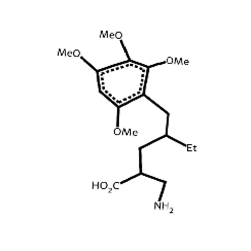 CCC(Cc1c(OC)cc(OC)c(OC)c1OC)CC(CN)C(=O)O